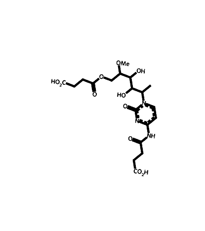 COC(COC(=O)CCC(=O)O)C(O)C(O)C(C)n1ccc(NC(=O)CCC(=O)O)nc1=O